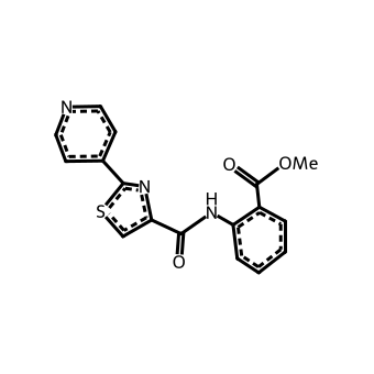 COC(=O)c1ccccc1NC(=O)c1csc(-c2ccncc2)n1